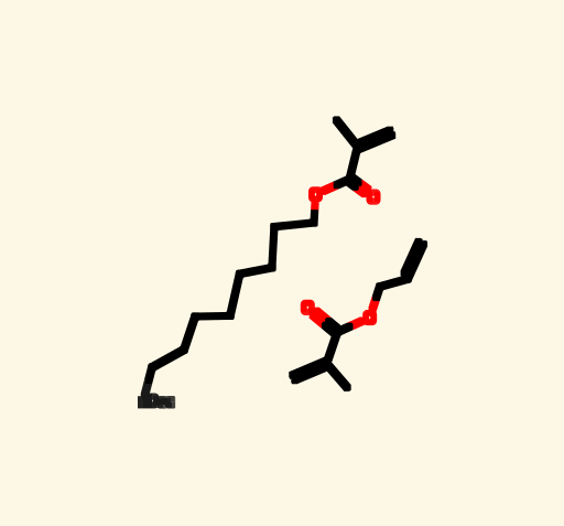 C=C(C)C(=O)OCCCCCCCCCCCCCCCCCC.C=CCOC(=O)C(=C)C